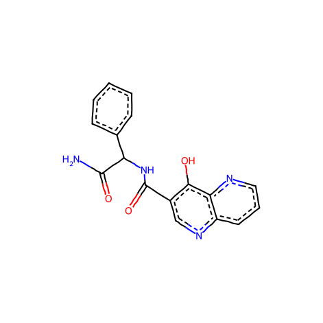 NC(=O)C(NC(=O)c1cnc2cccnc2c1O)c1ccccc1